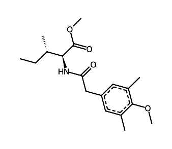 CC[C@H](C)[C@H](NC(=O)Cc1cc(C)c(OC)c(C)c1)C(=O)OC